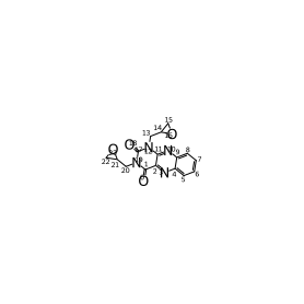 O=c1c2nc3ccccc3nc2n(CC2CO2)c(=O)n1CC1CO1